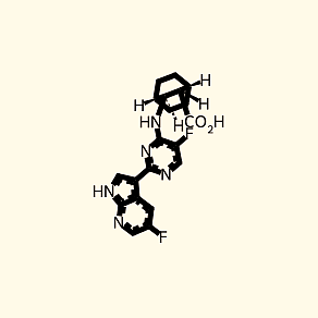 O=C(O)[C@H]1[C@H]2CC[C@H](CC2)[C@@H]1Nc1nc(-c2c[nH]c3ncc(F)cc23)ncc1F